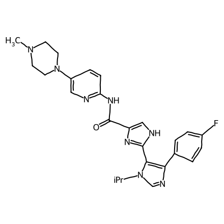 CC(C)n1cnc(-c2ccc(F)cc2)c1-c1nc(C(=O)Nc2ccc(N3CCN(C)CC3)cn2)c[nH]1